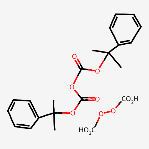 CC(C)(OC(=O)OC(=O)OC(C)(C)c1ccccc1)c1ccccc1.O=C(O)OOC(=O)O